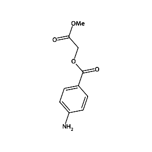 COC(=O)COC(=O)c1ccc(N)cc1